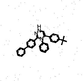 CC(C)(C)c1ccc(C2=CNN=C(c3ccc(-c4ccccc4)cc3)N2c2ccccc2)cc1